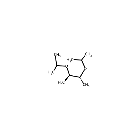 CC(C)O[C@H](C)[C@@H](C)OC(C)C